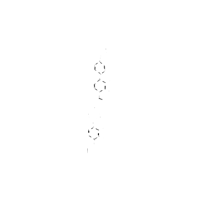 CCCc1ccc(-c2ccc(C(=O)OC3CCC(c4ccc(OCC)c(F)c4F)CC3)c(F)c2F)cc1